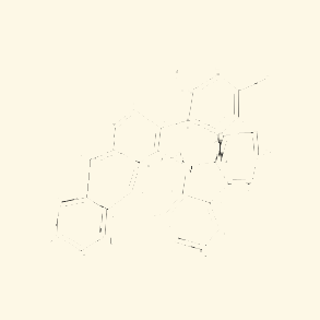 Cc1cc(C)c(-c2ccc3cc4ccccc4cc3c2-n2c3ccccc3c3ccccc32)c(C)c1